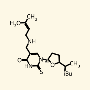 CCC(C)C(C)C1CC[C@H](n2cc(CNCC=C(C)C)c(=O)[nH]c2=S)O1